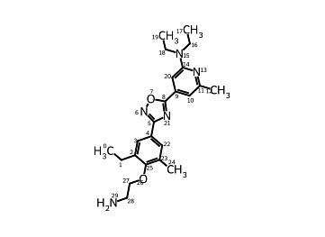 CCc1cc(-c2noc(-c3cc(C)nc(N(CC)CC)c3)n2)cc(C)c1OCCN